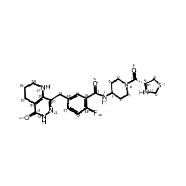 O=C(NC1CCN(C(=O)[C@@H]2CSCN2)CC1)c1cc(Cc2n[nH]c(=O)c3c2NCCC3)ccc1F